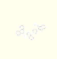 CCCn1c(-c2ccc(-c3cc4c(c5ccccc35)C(C)(C)c3c-4c4ccccc4c4ccccc34)cc2)nc2ccccc21